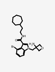 NC1(Cn2cc(C(=O)NCCC3CCCCCC3)c3c(Br)cccc32)COC1